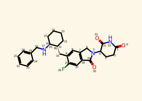 O=C1CCC(N2Cc3cc(C[C@H]4CCCC[C@@H]4NCc4ccccc4)c(F)cc3C2=O)C(=O)N1